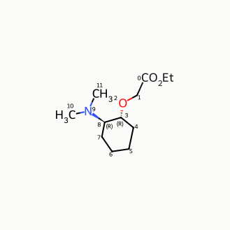 CCOC(=O)CO[C@@H]1CCCC[C@H]1N(C)C